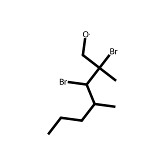 CCCC(C)C(Br)C(C)(Br)C[O]